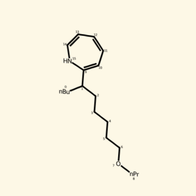 CCCCC(CCCCCOCCC)C1=CC=CC=CN1